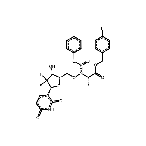 C[C@@H](C(=O)OCc1ccc(F)cc1)N(OC[C@H]1O[C@@H](n2ccc(=O)[nH]c2=O)[C@](C)(F)[C@@H]1O)[PH](=O)Oc1ccccc1